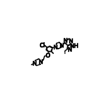 CCc1n[nH]c2ncnc(N3CCN(c4cc(Cl)cc(OCCN5CCN(C)CC5)c4C)CC3)c12